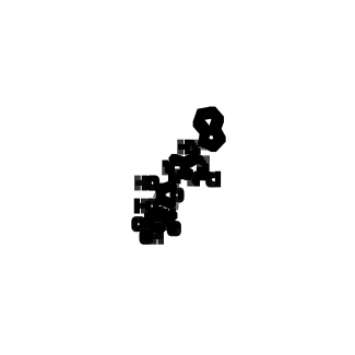 O=P(O)(O)CS(=O)(=O)C[C@H]1O[C@@H](n2ncc3c(N[C@H]4CCc5ccccc54)nc(Cl)nc32)[C@H](O)[C@@H]1O